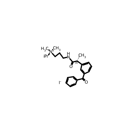 CC(C)[N+](C)(C)CCCNC(=O)[C@H](C)c1cccc(C(=O)c2ccccc2)c1.[I-]